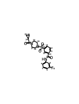 O=C(Nc1cccc(F)c1)c1cccc(S(=O)(=O)N2CCN(C(=O)C3CC3)CC2)c1